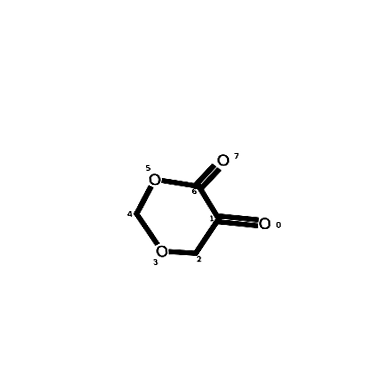 O=C1COCOC1=O